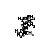 CC(c1cnc(C(C)N(C)C)cn1)N(C)C